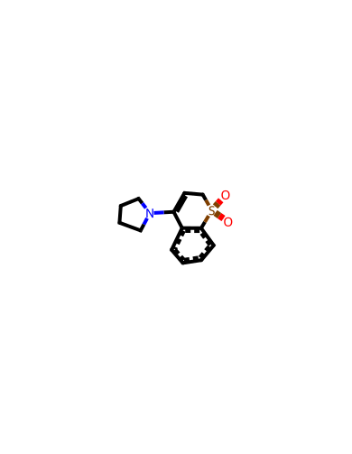 O=S1(=O)CC=C(N2CCCC2)c2ccccc21